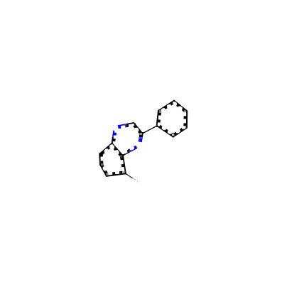 O=[N+]([O-])c1cccc2n[c]c(-c3ccccc3)nc12